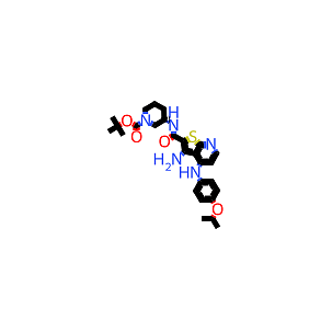 CC(C)Oc1ccc(Nc2ccnc3sc(C(=O)N[C@@H]4CCCN(C(=O)OC(C)(C)C)C4)c(N)c23)cc1